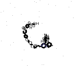 Cc1nn(C)cc1S(=O)(=O)NC(=O)C1=C/C=C(/CCC2C=CC(OCCOCCOc3ccc(C4CCN([S+]([O-])c5ccc(C(=O)NCC(=O)O)cc5)CC4)cc3)=N2)CC/C=C\1C1CCC[C@@H](C)CC1(C)C